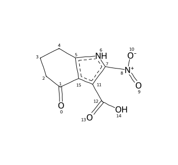 O=C1CCCc2[nH]c([N+](=O)[O-])c(C(=O)O)c21